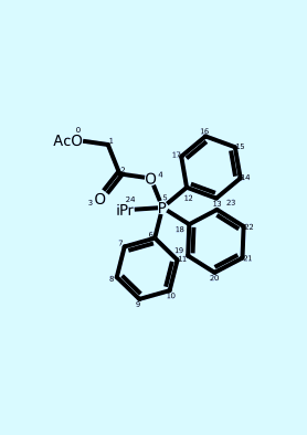 CC(=O)OCC(=O)OP(c1ccccc1)(c1ccccc1)(c1ccccc1)C(C)C